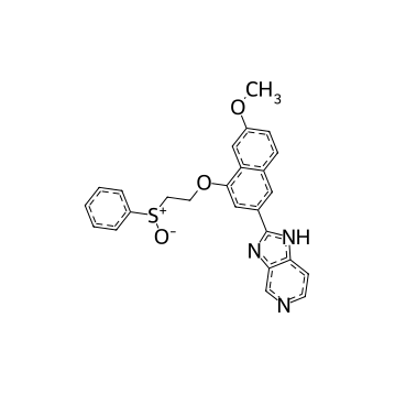 COc1ccc2cc(-c3nc4cnccc4[nH]3)cc(OCC[S+]([O-])c3ccccc3)c2c1